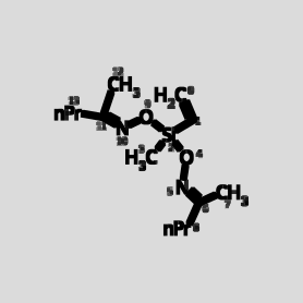 C=C[Si](C)(ON=C(C)CCC)ON=C(C)CCC